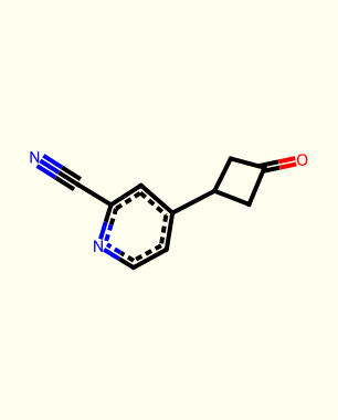 N#Cc1cc(C2CC(=O)C2)ccn1